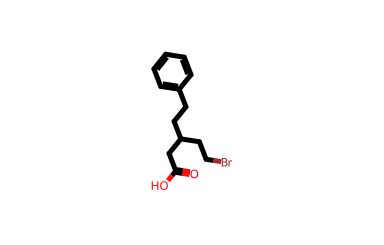 O=C(O)CC(CCBr)CCc1ccccc1